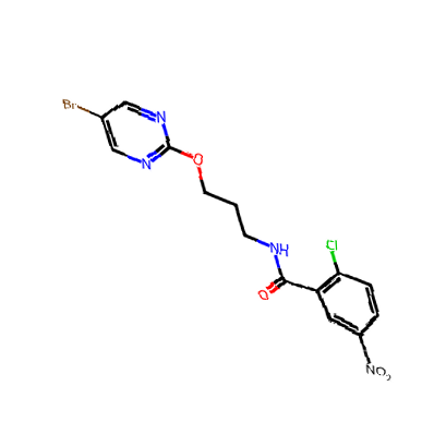 O=C(NCCCOc1ncc(Br)cn1)c1cc([N+](=O)[O-])ccc1Cl